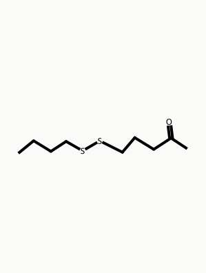 CCCCSSCCCC(C)=O